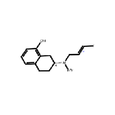 CCCN(C/C=C/I)[C@@H]1CCc2cccc(O)c2C1